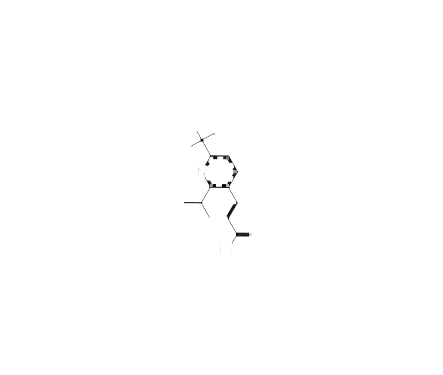 CC(C)c1nc(C(F)(F)F)ccc1C=CC(=O)O